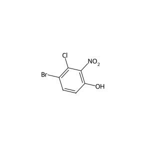 O=[N+]([O-])c1c(O)ccc(Br)c1Cl